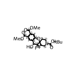 COC(=O)c1cc2c(cc1C(=O)OC)C(O)C(F)(F)C1(CCN(C(=O)OC(C)(C)C)CC1)O2